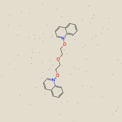 c1ccc2c(c1)ccc[n+]2OCCOCCO[n+]1cccc2ccccc21